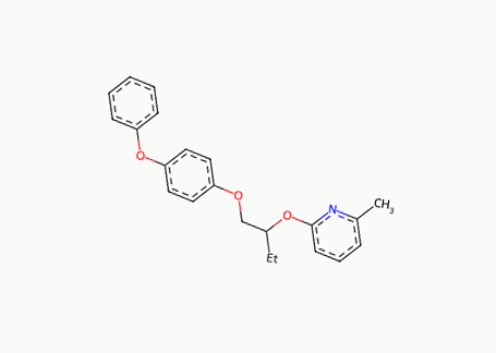 CCC(COc1ccc(Oc2ccccc2)cc1)Oc1cccc(C)n1